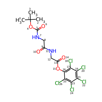 CC(C)(C)OC(=O)NCC(=O)NCC(=O)Oc1c(Cl)c(Cl)c(Cl)c(Cl)c1Cl